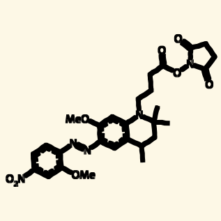 COc1cc([N+](=O)[O-])ccc1N=Nc1cc2c(cc1OC)N(CCCC(=O)ON1C(=O)CCC1=O)C(C)(C)CC2C